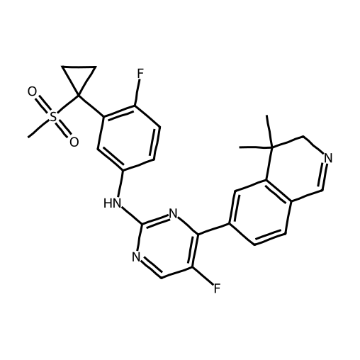 CC1(C)CN=Cc2ccc(-c3nc(Nc4ccc(F)c(C5(S(C)(=O)=O)CC5)c4)ncc3F)cc21